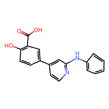 O=C(O)c1cc(-c2ccnc(Nc3ccccc3)c2)ccc1O